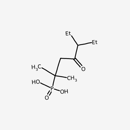 CCC(CC)C(=O)CC(C)(C)P(=O)(O)O